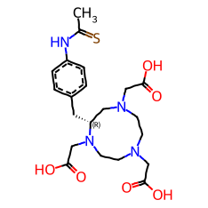 CC(=S)Nc1ccc(C[C@@H]2CN(CC(=O)O)CCN(CC(=O)O)CCN2CC(=O)O)cc1